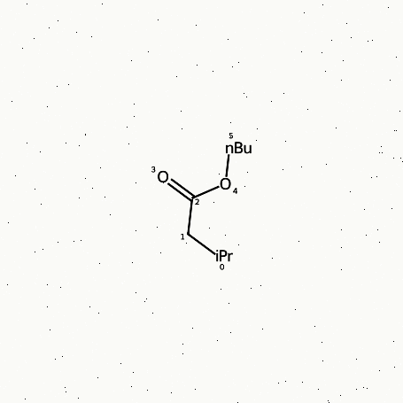 [CH2]C(C)CC(=O)OCCCC